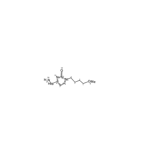 COCCCCn1ccc(NN)nc1=O